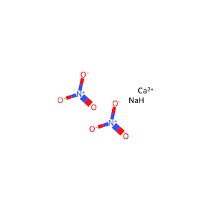 O=[N+]([O-])[O-].O=[N+]([O-])[O-].[Ca+2].[NaH]